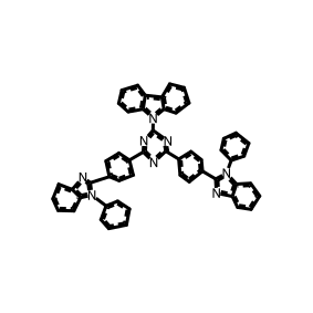 c1ccc(-n2c(-c3ccc(-c4nc(-c5ccc(-c6nc7ccccc7n6-c6ccccc6)cc5)nc(-n5c6ccccc6c6ccccc65)n4)cc3)nc3ccccc32)cc1